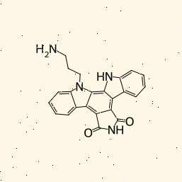 NCCCn1c2ccccc2c2c3c(c4c5ccccc5[nH]c4c21)C(=O)NC3=O